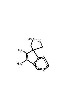 COCC1(COC(C)=O)C(C)=C(C)c2ccccc21